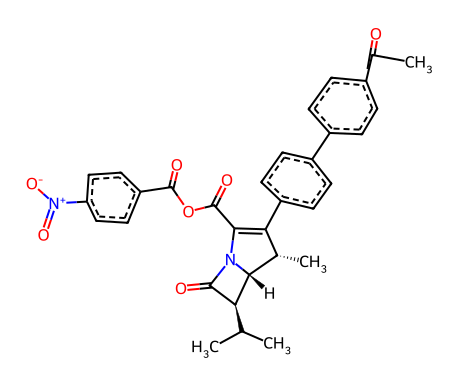 CC(=O)c1ccc(-c2ccc(C3=C(C(=O)OC(=O)c4ccc([N+](=O)[O-])cc4)N4C(=O)[C@H](C(C)C)[C@H]4[C@H]3C)cc2)cc1